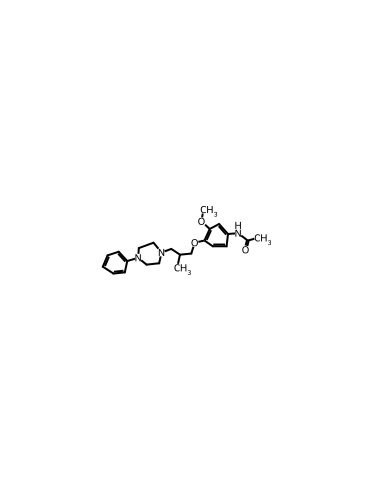 COc1cc(NC(C)=O)ccc1OCC(C)CN1CCN(c2ccccc2)CC1